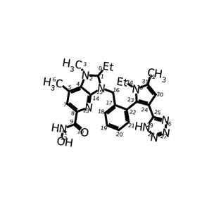 CCC1N(C)c2c(C)cc(C(=O)NO)nc2N1Cc1ccccc1-c1c(-c2nnn[nH]2)cc(C)n1CC